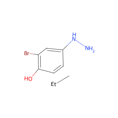 CCC.NNc1ccc(O)c(Br)c1